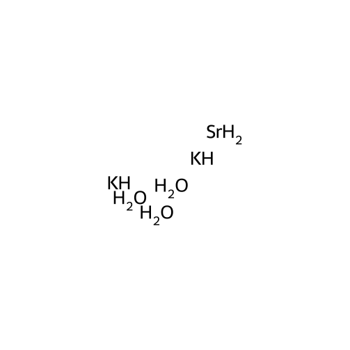 O.O.O.[KH].[KH].[SrH2]